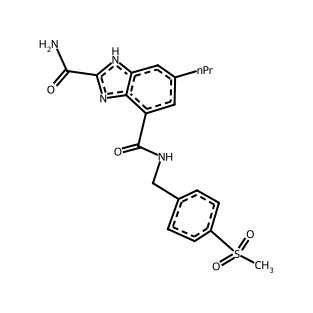 CCCc1cc(C(=O)NCc2ccc(S(C)(=O)=O)cc2)c2nc(C(N)=O)[nH]c2c1